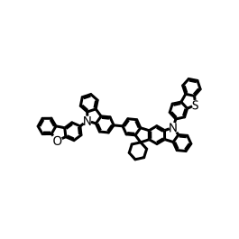 c1ccc2c(c1)oc1ccc(-n3c4ccccc4c4cc(-c5ccc6c(c5)C5(CCCCC5)c5cc7c8ccccc8n(-c8ccc9c(c8)sc8ccccc89)c7cc5-6)ccc43)cc12